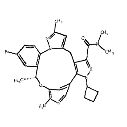 Cc1cc2n(n1)-c1ccc(F)cc1[C@@H](C)Oc1cc(cnc1N)-c1c(c(C(=O)N(C)C)nn1C1CCC1)C2